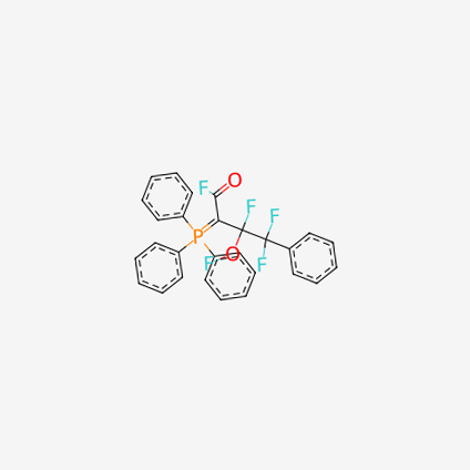 O=C(F)C(C(F)(OF)C(F)(F)c1ccccc1)=P(c1ccccc1)(c1ccccc1)c1ccccc1